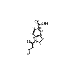 CCCC(=O)N1CCc2cc(C(=O)O)ccc21